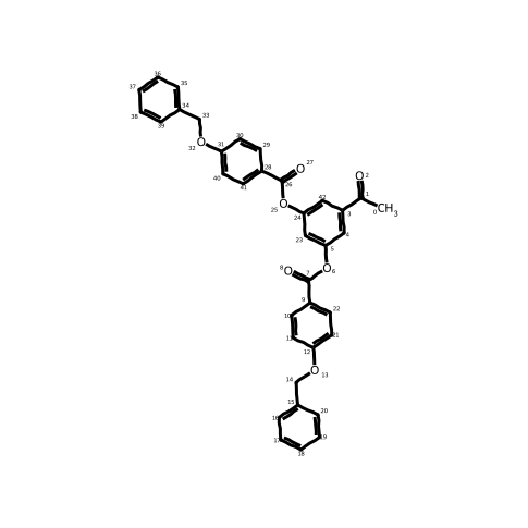 CC(=O)c1cc(OC(=O)c2ccc(OCc3ccccc3)cc2)cc(OC(=O)c2ccc(OCc3ccccc3)cc2)c1